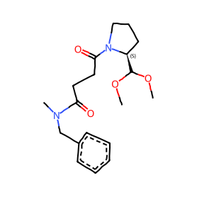 COC(OC)[C@@H]1CCCN1C(=O)CCC(=O)N(C)Cc1ccccc1